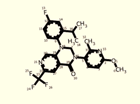 COc1ccc(N2CN(c3ccc(F)cc3C(C)C)c3cnc(C(F)(F)F)cc3C2=O)c(C)n1